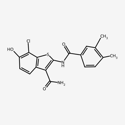 Cc1ccc(C(=O)Nc2sc3c(Cl)c(O)ccc3c2C(N)=O)cc1C